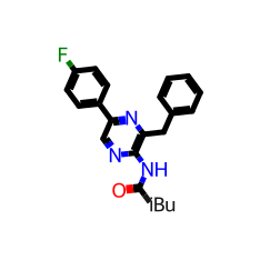 CCC(C)C(=O)Nc1ncc(-c2ccc(F)cc2)nc1Cc1ccccc1